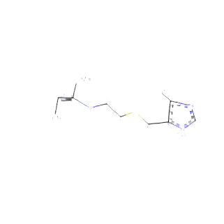 CO/C(=C/C#N)NCCSCc1[nH]cnc1C